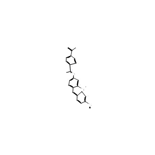 C=Nc1ccc2cc3ccc(/N=C(\C)c4ccc(C(=C)C)cc4)cc3[n+](C)c2c1